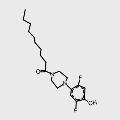 CCCCCCCCCC(=O)N1CCN(c2cc(F)c(O)cc2F)CC1